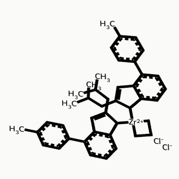 Cc1ccc(-c2cccc3c2C=C(CC(C)C)[CH]3[Zr+2]2([CH]3C(CC(C)C)=Cc4c(-c5ccc(C)cc5)cccc43)[CH2]C[CH2]2)cc1.[Cl-].[Cl-]